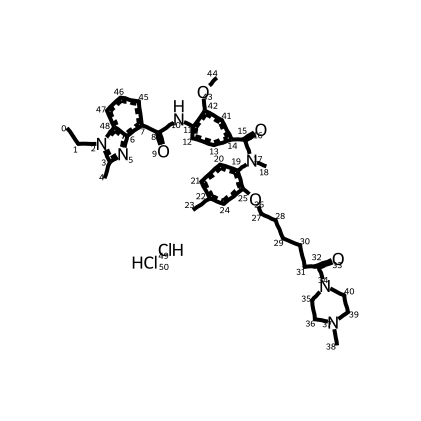 CCn1c(C)nc2c(C(=O)Nc3ccc(C(=O)N(C)c4ccc(C)cc4OCCCCCC(=O)N4CCN(C)CC4)cc3OC)cccc21.Cl.Cl